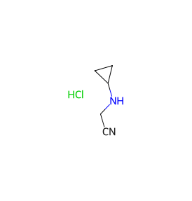 Cl.N#CCNC1CC1